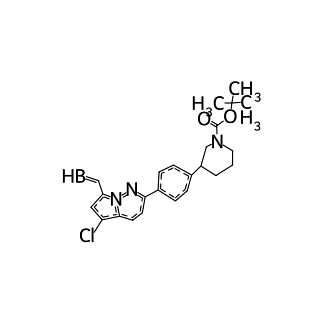 B=Cc1cc(Cl)c2ccc(-c3ccc(C4CCCN(C(=O)OC(C)(C)C)C4)cc3)nn12